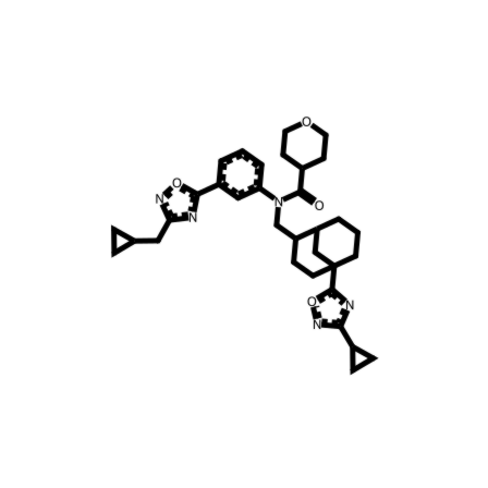 O=C(C1CCOCC1)N(CC1CCC2(c3nc(C4CC4)no3)CCCC1C2)c1cccc(-c2nc(CC3CC3)no2)c1